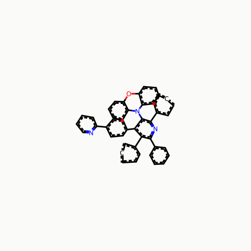 c1ccc(-c2nc(-c3ccccc3)c(N3c4ccccc4Oc4ccccc43)c(-c3ccc(-c4ccccn4)cc3)c2-c2ccccc2)cc1